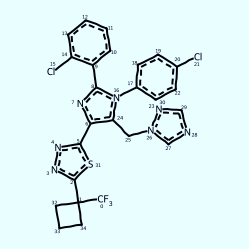 FC(F)(F)C1(c2nnc(-c3nc(-c4ccccc4Cl)n(-c4ccc(Cl)cc4)c3Cn3cncn3)s2)CCC1